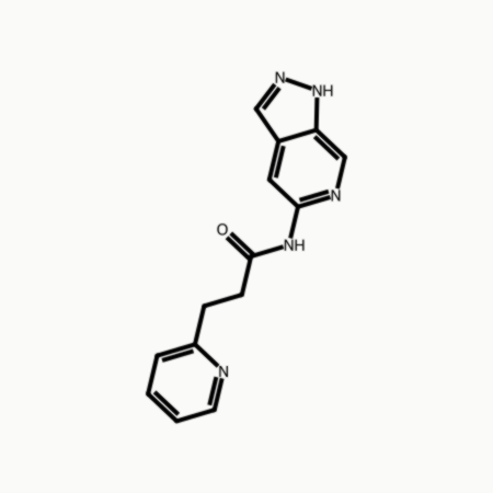 O=C(CCc1ccccn1)Nc1cc2cn[nH]c2cn1